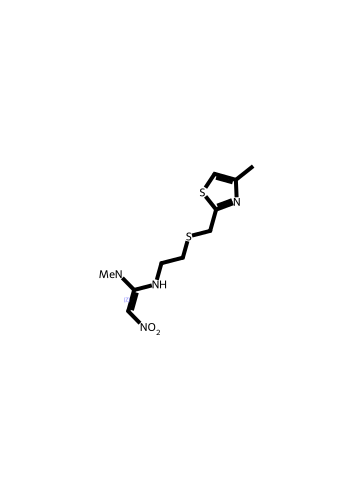 CN/C(=C/[N+](=O)[O-])NCCSCc1nc(C)cs1